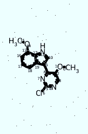 COc1cnc(Cl)nc1-c1c[nH]c2c(OC)cccc12